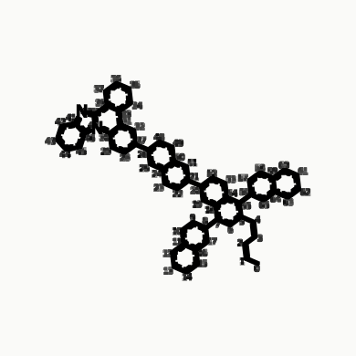 C/C=C\C=C/c1cc(-c2ccc3ccccc3c2)c2cc(-c3ccc4cc(-c5ccc6c(c5)c5ccccc5c5nc7ccccc7n65)ccc4c3)ccc2c1-c1ccc2ccccc2c1